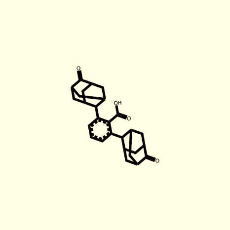 O=C(O)c1c(C2C3CC4CC2CC(C3)C4=O)cccc1C1C2CC3CC1CC(C2)C3=O